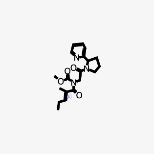 CC/C=C(\C)C(=O)N(CC(=O)N1CCCC1c1ccccn1)C(=O)OC